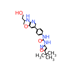 CC(C)(C)c1cc(NC(=O)Nc2ccc(-c3cnc4c(c3)OCC(CCO)N4)cc2)no1